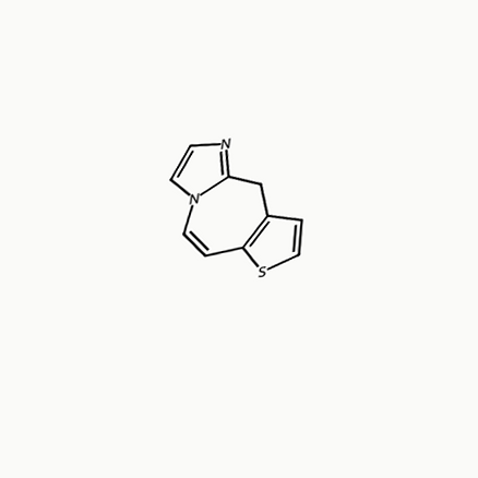 C1=Cn2ccnc2Cc2ccsc21